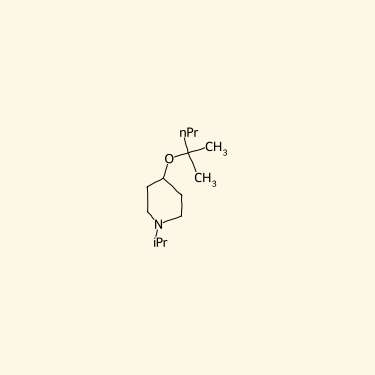 CCCC(C)(C)OC1CCN(C(C)C)CC1